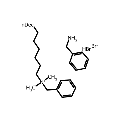 Br.CCCCCCCCCCCCCCCC[N+](C)(C)Cc1ccccc1.NCc1ccccc1.[Br-]